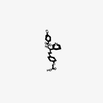 O=C(O)COc1ccc(CCC(NS(=O)(=O)c2ccc(Cl)cc2)c2cccnc2)cc1